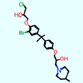 CC1CCN(CC(O)COc2ccc(C(C)(C)c3ccc(OCC(O)CCl)c(Br)c3)cc2)CC1